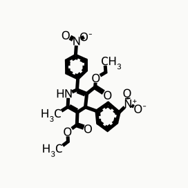 CCOC(=O)C1=C(C)NC(c2ccc([N+](=O)[O-])cc2)=C(C(=O)OCC)C1c1cccc([N+](=O)[O-])c1